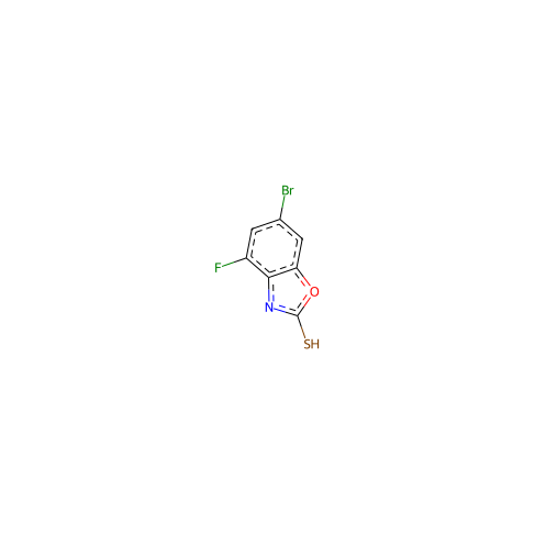 Fc1cc(Br)cc2oc(S)nc12